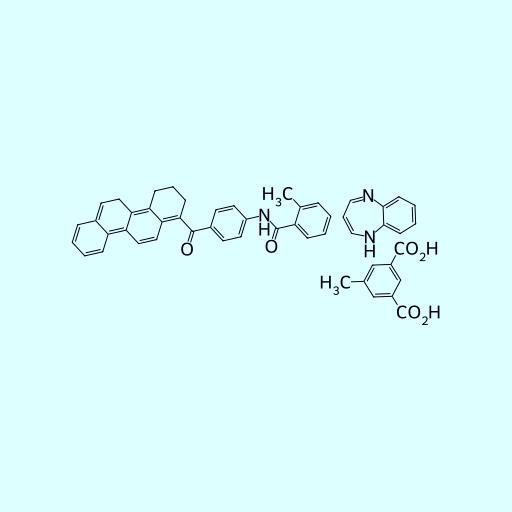 C1=CNc2ccccc2N=C1.Cc1cc(C(=O)O)cc(C(=O)O)c1.Cc1ccccc1C(=O)Nc1ccc(C(=O)C2=c3ccc4c(c3CCC2)CC=c2ccccc2=4)cc1